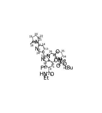 CCNC(=O)c1cc(OC)c2c(nc(-c3ccc(N4[C@@H](C)CC[C@@H]4C)nc3)n2C[C@@H]2CN(C(=O)OC(C)(C)C)CCO2)c1F